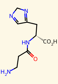 NCCC(=O)N[C@H](CC1=NCN=C1)C(=O)O